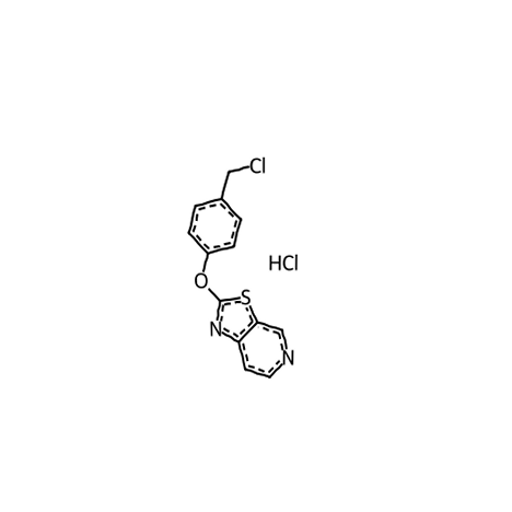 Cl.ClCc1ccc(Oc2nc3ccncc3s2)cc1